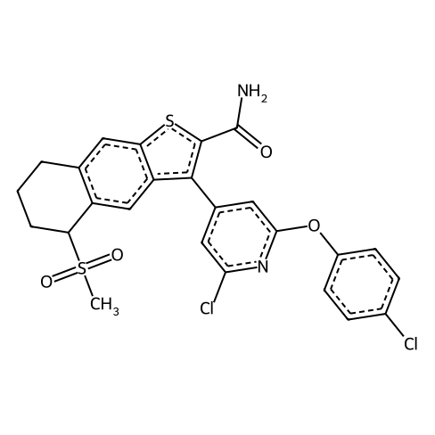 CS(=O)(=O)C1CCCc2cc3sc(C(N)=O)c(-c4cc(Cl)nc(Oc5ccc(Cl)cc5)c4)c3cc21